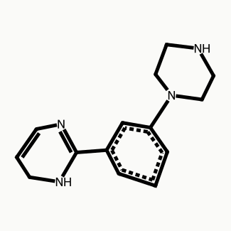 C1=CN=C(c2cccc(N3CCNCC3)c2)NC1